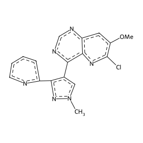 COc1cc2ncnc(-c3cn(C)nc3-c3ccccn3)c2nc1Cl